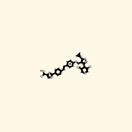 O=C(O)c1csc(-c2ccc(/C=C/C34CCC(OCc5c(-c6c(Cl)cncc6Cl)noc5C5CC5)(CC3)CC4)cc2)n1